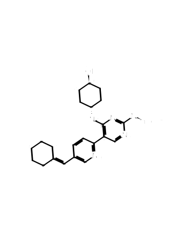 CCC[C@H](C)Nc1ncc(-c2ccc(C=C3CCCCC3)cn2)c(N[C@H]2CC[C@H](O)CC2)n1